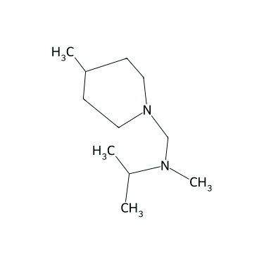 CC1CCN(CN(C)C(C)C)CC1